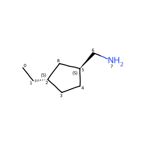 CC[C@H]1CC[C@H](CN)C1